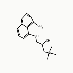 C[N+](C)(C)CC(O)CNc1cccc2cccc(N)c12